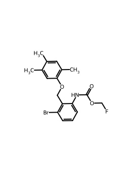 Cc1cc(C)c(OCc2c(Br)cccc2NC(=O)OCF)cc1C